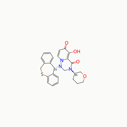 O=C1c2c(O)c(=O)ccn2N([C@H]2c3ccccc3CSc3ccccc32)CN1[C@@H]1CCCOC1